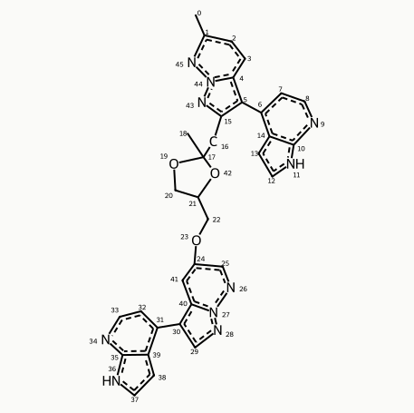 Cc1ccc2c(-c3ccnc4[nH]ccc34)c(CC3(C)OCC(COc4cnn5ncc(-c6ccnc7[nH]ccc67)c5c4)O3)nn2n1